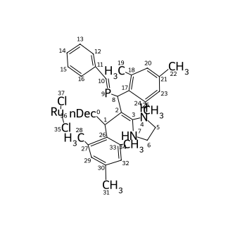 CCCCCCCCCCC(C(=C1NCCN1)C(P=Cc1ccccc1)c1c(C)cc(C)cc1C)c1c(C)cc(C)cc1C.[Cl][Ru][Cl]